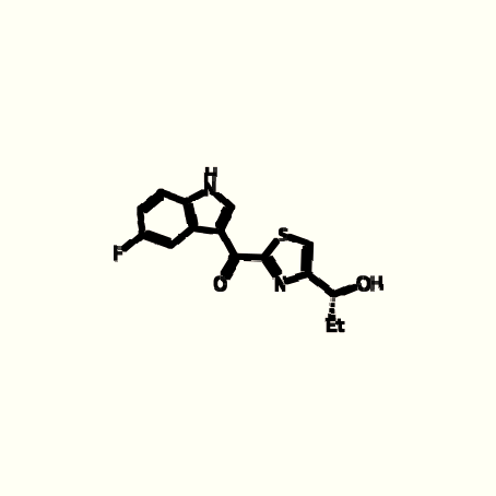 CC[C@@H](O)c1csc(C(=O)c2c[nH]c3ccc(F)cc23)n1